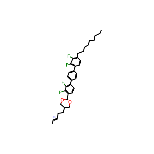 C/C=C/CCC1COC(c2ccc(-c3ccc(-c4ccc(CCCCCCCCC)c(F)c4F)cc3)c(F)c2F)OC1